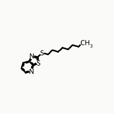 CCCCCCCCSc1nc2cccnc2s1